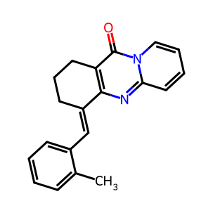 Cc1ccccc1C=C1CCCc2c1nc1ccccn1c2=O